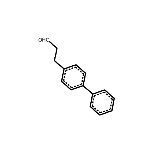 O=CCCc1ccc(-c2ccccc2)cc1